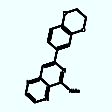 CNc1nc(-c2ccc3c(c2)OCCO3)cc2nccnc12